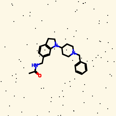 CC(=O)NCc1ccc2c(c1)N(C1CCN(Cc3ccccc3)CC1)CC2